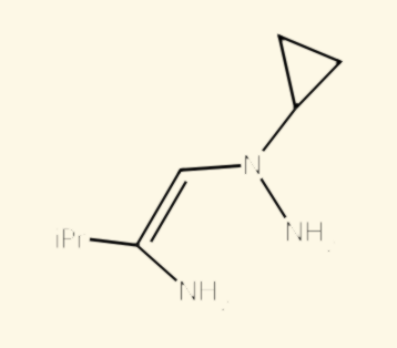 CC(C)/C(N)=C/N(N)C1CC1